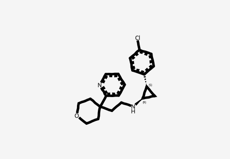 Clc1ccc([C@@H]2C[C@H]2NCCC2(c3ccccn3)CCOCC2)cc1